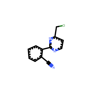 N#Cc1ccccc1-c1nccc(CCl)n1